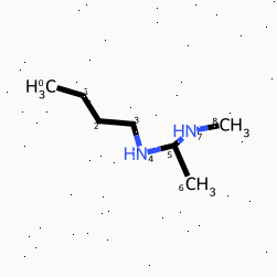 CCCCNC(C)NC